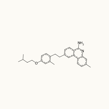 Cc1ccc2c(c1)nc(N)c1ccc(CCc3ccc(OCCC(C)C)cc3C)cc12